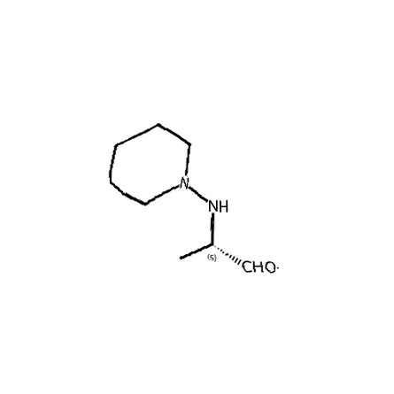 C[C@@H]([C]=O)NN1CCCCC1